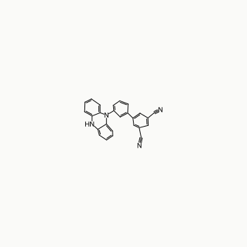 N#Cc1cc(C#N)cc(-c2cccc(N3c4ccccc4Nc4ccccc43)c2)c1